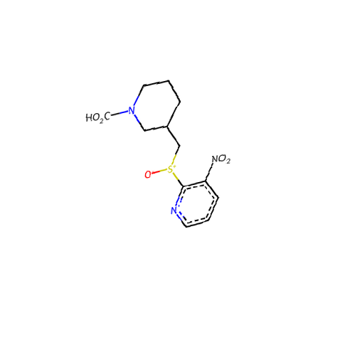 O=C(O)N1CCCC(C[S+]([O-])c2ncccc2[N+](=O)[O-])C1